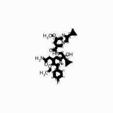 CCOc1c(CC(N)=O)cc([C@@](O)(CNC(=O)c2cc(OC)c3nc(C4CC4)cn3c2)C2CC2)nc1-c1ccc(F)cc1